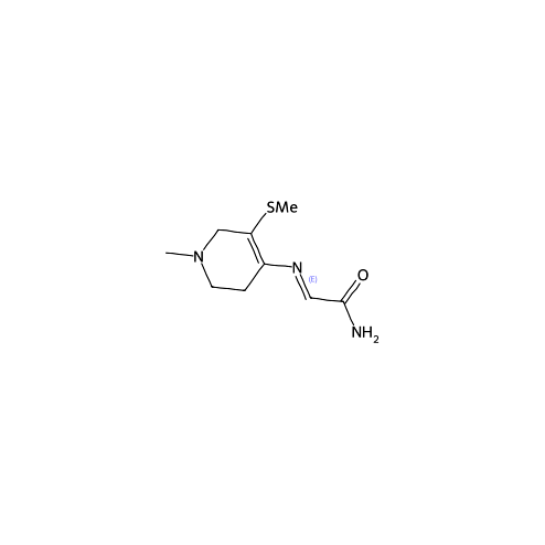 CSC1=C(/N=C/C(N)=O)CCN(C)C1